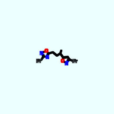 CC(C)c1cc(C(C)CCc2nc(C(C)C)no2)on1